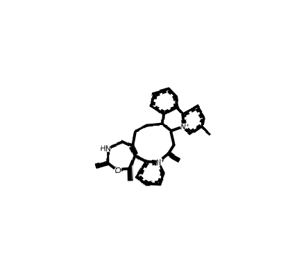 C=C1NCC2=C(C(=C)O1)c1cccc[n+]1C(=C)CC1C(CC2)c2ccccc2-c2ccc(C)c[n+]21